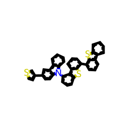 c1ccc2c(c1)sc1c(-c3cccc4c3sc3cccc(-n5c6ccccc6c6cc(-c7ccsc7)ccc65)c34)cccc12